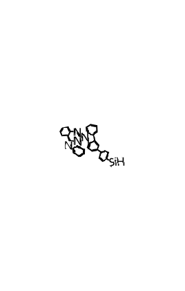 C[SiH](C)c1ccc(-c2ccc3c(c2)c2ccccc2n3-c2nc3ccccc3c3nc4ccccc4n23)cc1